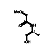 COCC(=O)N[C@H](C)CO